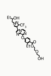 CCc1cc(Oc2nccn3c(-c4cn(CC(O)CC)nc4C(F)(F)F)cnc23)ccc1C(=O)OCCOCCO